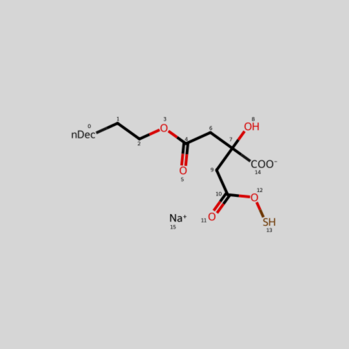 CCCCCCCCCCCCOC(=O)CC(O)(CC(=O)OS)C(=O)[O-].[Na+]